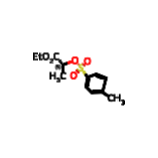 CCOC(=O)[C@H](C)OS(=O)(=O)c1ccc(C)cc1